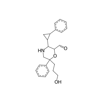 O=CC1OC(CCCO)(c2ccccc2)CNC1C1CC1c1ccccc1